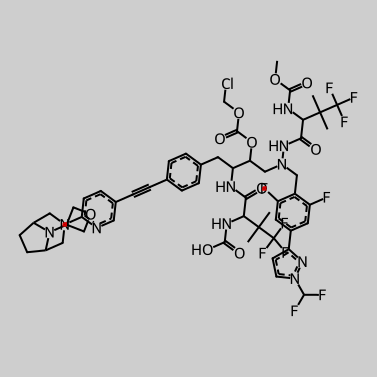 COC(=O)NC(C(=O)NN(Cc1c(F)cc(-c2ccn(C(F)F)n2)cc1F)CC(OC(=O)OCCl)C(Cc1ccc(C#Cc2ccc(N3CC4CCC(C3)N4C3COC3)nc2)cc1)NC(=O)C(NC(=O)O)C(C)(C)C(F)(F)F)C(C)(C)C(F)(F)F